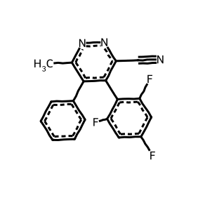 Cc1nnc(C#N)c(-c2c(F)cc(F)cc2F)c1-c1ccccc1